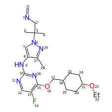 C=NCC(C)(C)n1cc(Nc2ncc(F)c(OCC3CCC(OCC)CC3)n2)c(C)n1